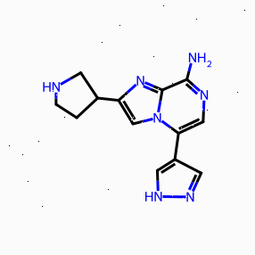 Nc1ncc(-c2cn[nH]c2)n2cc(C3CCNC3)nc12